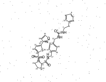 O=C(NCCc1ccccc1)NCc1ccc(CNC(=O)C2SCCN2S(=O)(=O)c2ccc(-c3ccon3)s2)cc1